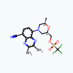 Bc1nc2c(C#N)ccc(N3C[C@H](COS(=O)(=O)C(F)(F)F)O[C@H](C)C3)c2nc1B